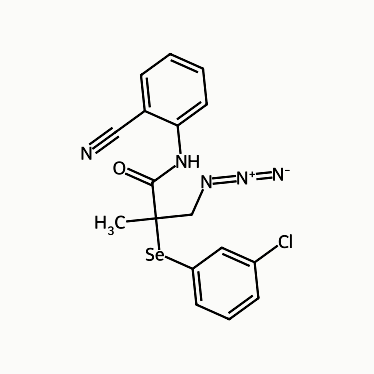 CC(CN=[N+]=[N-])([Se]c1cccc(Cl)c1)C(=O)Nc1ccccc1C#N